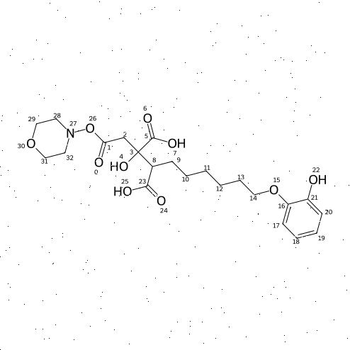 O=C(CC(O)(C(=O)O)C(CCCCCCOc1ccccc1O)C(=O)O)ON1CCOCC1